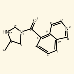 CC1CN(C(=O)c2cccc3cnccc23)CN1